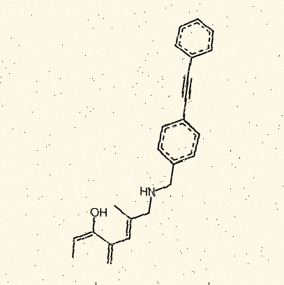 C=C(/C=C(\C)CNCc1ccc(C#Cc2ccccc2)cc1)/C(O)=C\C